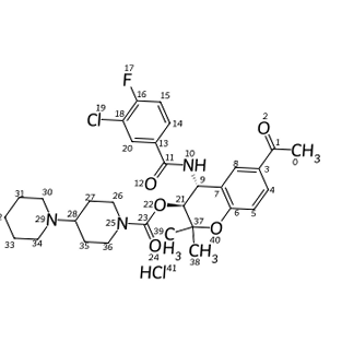 CC(=O)c1ccc2c(c1)[C@@H](NC(=O)c1ccc(F)c(Cl)c1)[C@H](OC(=O)N1CCC(N3CCCCC3)CC1)C(C)(C)O2.Cl